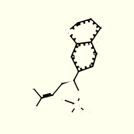 CC/C(I)=C/C[C@H](O[Si](CC)(CC)CC)c1ccc2cccnc2c1